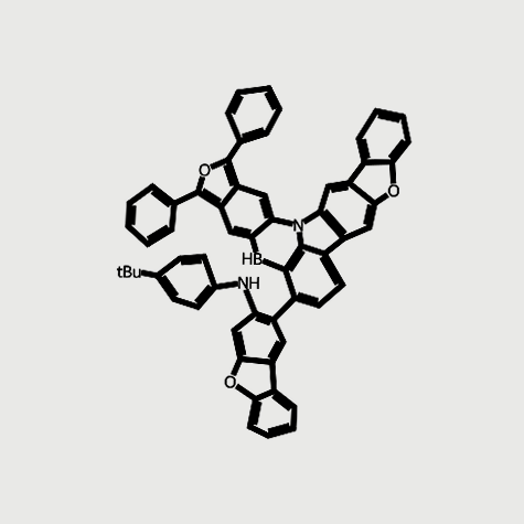 CC(C)(C)c1ccc(Nc2cc3oc4ccccc4c3cc2-c2ccc3c4cc5oc6ccccc6c5cc4n4c3c2Bc2cc3c(-c5ccccc5)oc(-c5ccccc5)c3cc2-4)cc1